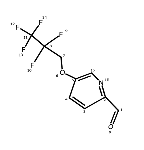 O=Cc1ccc(OCC(F)(F)C(F)(F)F)cn1